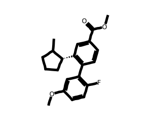 COC(=O)c1ccc(-c2cc(OC)ccc2F)c([C@@H]2CCCC2C)c1